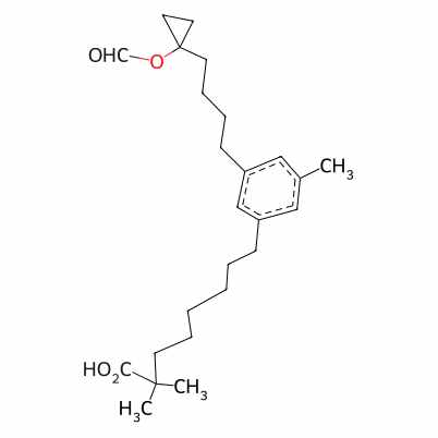 Cc1cc(CCCCCCC(C)(C)C(=O)O)cc(CCCCC2(OC=O)CC2)c1